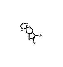 N#Cc1c(Br)sc2c1CCC1(C2)OCCO1